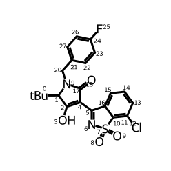 CC(C)(C)C1C(O)=C(C2=NS(=O)(=O)c3c(Cl)cccc32)C(=O)N1Cc1ccc(F)cc1